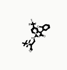 CC(C)(C)[Si](C)(C)C(C=O)CNc1nc(=O)c(-c2ccccc2Cl)c2cc(C(F)(F)F)ccn12